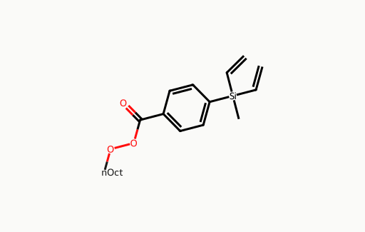 [CH2]CCCCCCCOOC(=O)c1ccc([Si](C)(C=C)C=C)cc1